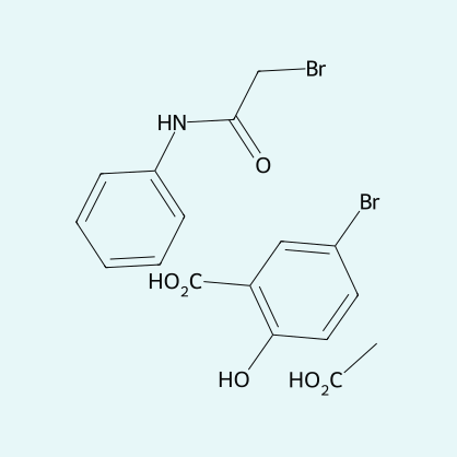 CC(=O)O.O=C(CBr)Nc1ccccc1.O=C(O)c1cc(Br)ccc1O